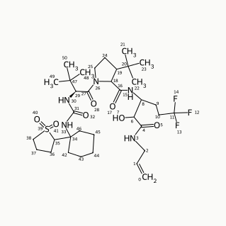 C=CCNC(=O)C(O)C(CCC(F)(F)F)NC(=O)C1C(C(C)(C)C)CCN1C(=O)[C@@H](NC(=O)NC1(C2CCCS2(=O)=O)CCCCC1)C(C)(C)C